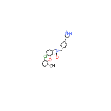 Cn1cc(-c2ccc(CN3Cc4cccc(Oc5c(Cl)cccc5C#N)c4C3=O)cc2)cn1